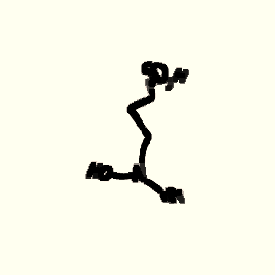 CCCN(O)CCS(=O)(=O)O